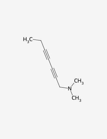 CCC#CC#CCN(C)C